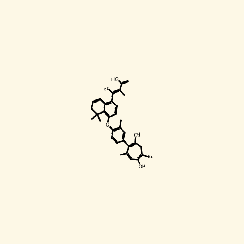 C=C(O)/C(C)=C(\CC)c1ccc(Oc2ccc(C3=C(O)CC(CC)=C(O)C=C3C)cc2C)c2c1C=CCC2(C)C